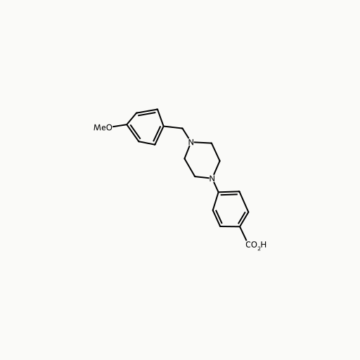 COc1ccc(CN2CCN(c3ccc(C(=O)O)cc3)CC2)cc1